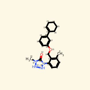 Cc1cccc(N2NNN(C)C2=O)c1COc1cccc(C2=CCCCC2)c1